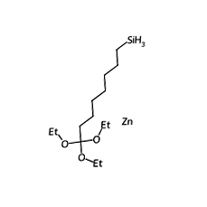 CCOC(CCCCCCC[SiH3])(OCC)OCC.[Zn]